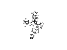 CC(C)(C)OC(=O)N1CCCC(Nc2ncc(C(F)(F)F)c(-c3cn(S(=O)(=O)c4ccccc4)c4cc(B5OC(C)(C)C(C)(C)O5)ccc34)n2)C1